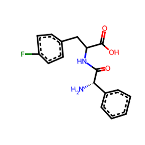 N[C@H](C(=O)NC(Cc1ccc(F)cc1)C(=O)O)c1ccccc1